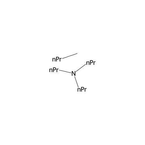 CCCC.CCCN(CCC)CCC